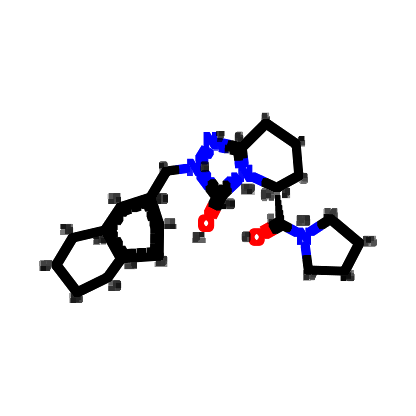 O=C([C@H]1CCCc2nn(Cc3ccc4c(c3)CCCC4)c(=O)n21)N1CCCC1